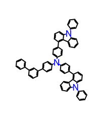 c1ccc(-c2cccc(-c3ccc(N(c4ccc(-c5cccc6c5c5ccccc5n6-c5ccccc5)cc4)c4ccc(-c5cccc6c5c5ccccc5n6-c5ccccc5)cc4)cc3)c2)cc1